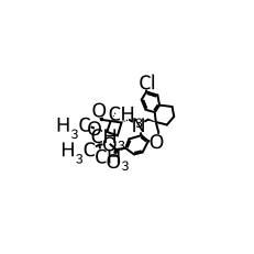 COC(=O)[C@]1(C)CC[C@H]1CN1C[C@@]2(CCCc3cc(Cl)ccc32)COc2ccc(C(=O)OC(C)(C)C)cc21